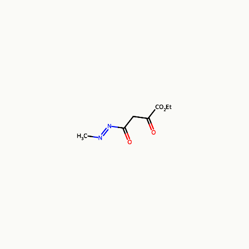 CCOC(=O)C(=O)CC(=O)N=NC